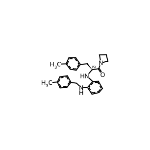 Cc1ccc(CNc2ccccc2N[C@@H](Cc2ccc(C)cc2)C(=O)N2CCC2)cc1